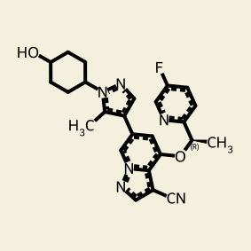 Cc1c(-c2cc(O[C@H](C)c3ccc(F)cn3)c3c(C#N)cnn3c2)cnn1C1CCC(O)CC1